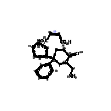 NCN1CC(c2ccccc2)(c2ccccc2)CCC1=O.O=C(O)/C=C\C(=O)O